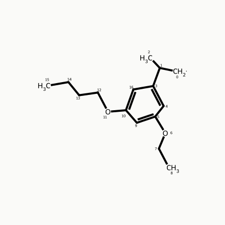 [CH2]C(C)c1cc(OCC)cc(OCCCC)c1